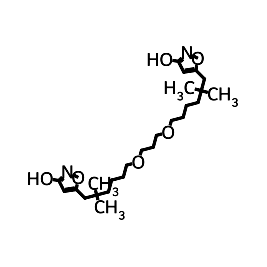 CC(C)(CCCCOCCCOCCCCC(C)(C)Cc1cc(O)no1)Cc1cc(O)no1